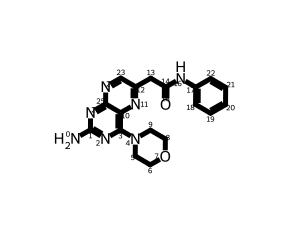 Nc1nc(N2CCOCC2)c2nc(CC(=O)Nc3ccccc3)cnc2n1